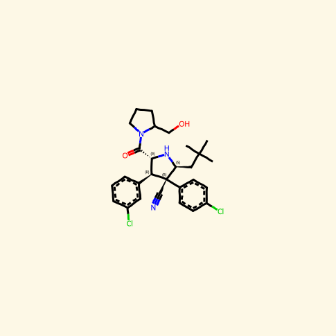 CC(C)(C)C[C@@H]1N[C@@H](C(=O)N2CCCC2CO)[C@H](c2cccc(Cl)c2)[C@@]1(C#N)c1ccc(Cl)cc1